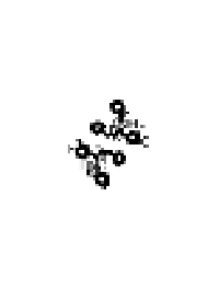 COc1ccc(-c2oc(Cc3ccccc3)nc2NS(=O)(=O)c2ccccc2)cc1F.Cc1cc(-c2oc(Cc3ccccc3)nc2NS(=O)(=O)c2ccccc2)ccc1F